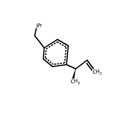 C=C[C@@H](C)c1ccc(CC(C)C)cc1